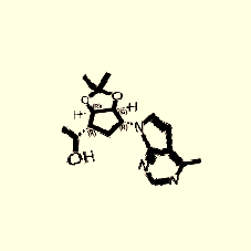 Cc1ncnc2c1ccn2[C@@H]1C[C@H](C(C)O)[C@H]2OC(C)(C)O[C@H]21